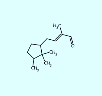 C/C(C=O)=C\CC1CCC(C)C1(C)C